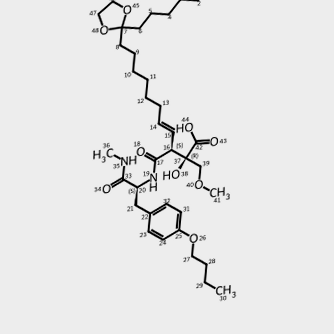 CCCCCCCC1(CCCCCCC=C[C@H](C(=O)N[C@@H](Cc2ccc(OCCCC)cc2)C(=O)NC)[C@@](O)(COC)C(=O)O)OCCO1